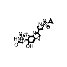 O=C1CN(c2c(O)cc3ncc(-c4cnn(S(=O)(=O)C5CC5)c4)nc3c2F)S(=O)(=O)N1